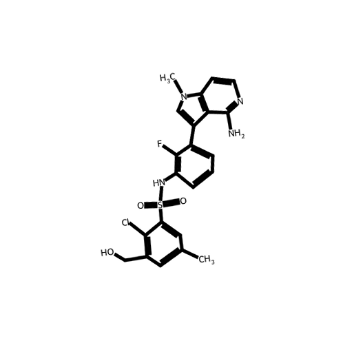 Cc1cc(CO)c(Cl)c(S(=O)(=O)Nc2cccc(-c3cn(C)c4ccnc(N)c34)c2F)c1